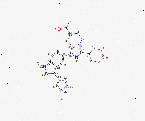 CC(=O)N1CCn2c(C3CCSCC3)nc(-c3ccc4c(c3)c(-c3cnn(C)c3)nn4C)c2C1